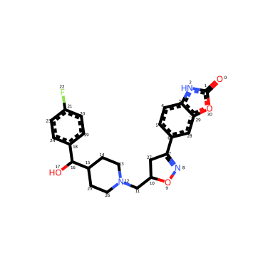 O=c1[nH]c2ccc(C3=NOC(CN4CCC(C(O)c5ccc(F)cc5)CC4)C3)cc2o1